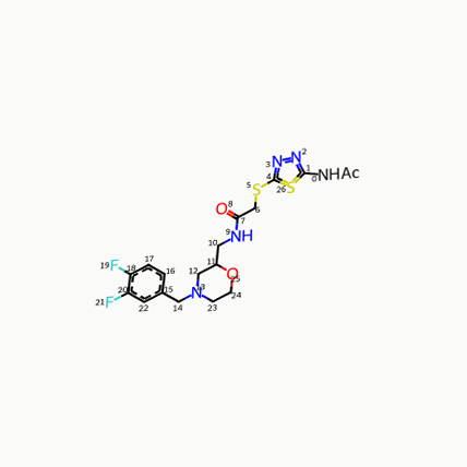 CC(=O)Nc1nnc(SCC(=O)NCC2CN(Cc3ccc(F)c(F)c3)CCO2)s1